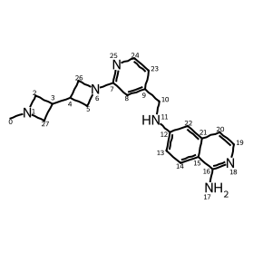 CN1CC(C2CN(c3cc(CNc4ccc5c(N)nccc5c4)ccn3)C2)C1